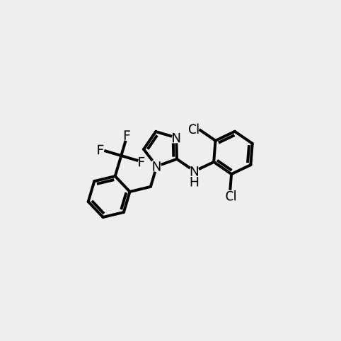 FC(F)(F)c1ccccc1Cn1ccnc1Nc1c(Cl)cccc1Cl